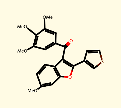 COc1ccc2c(C(=O)c3cc(OC)c(OC)c(OC)c3)c(-c3ccsc3)oc2c1